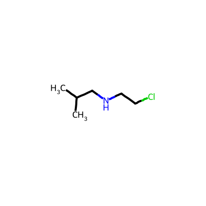 CC(C)CNCCCl